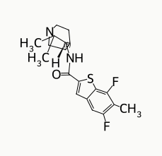 Cc1c(F)cc2cc(C(=O)N[C@H]3C4CCN(CC4)C3(C)C)sc2c1F